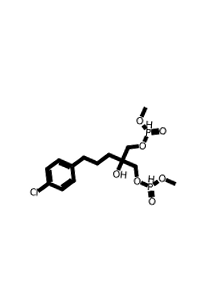 CO[PH](=O)OCC(O)(CCCc1ccc(Cl)cc1)CO[PH](=O)OC